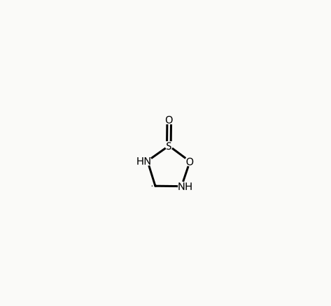 O=S1N[CH]NO1